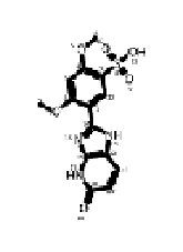 COc1cc(OC)c(S(=O)(=O)O)cc1-c1nc2[nH]c(=O)ccc2[nH]1